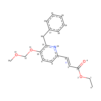 CCOC(=O)/C=C/c1ccc(OCOC)c(Cc2ccccc2)n1